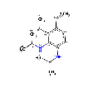 C=Cc1ccc(NC(C)C)c(NC(C)C)c1C=C